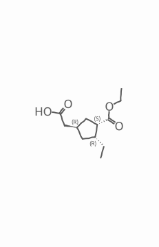 CCOC(=O)[C@H]1C[C@H](CC(=O)O)C[C@H]1CC